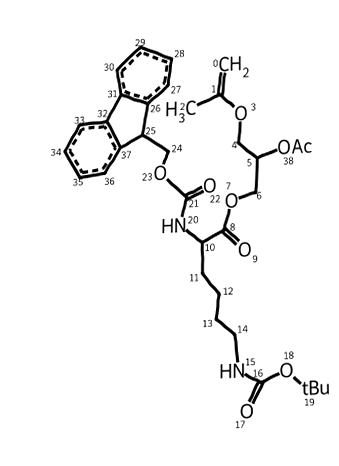 C=C(C)OCC(COC(=O)C(CCCCNC(=O)OC(C)(C)C)NC(=O)OCC1c2ccccc2-c2ccccc21)OC(C)=O